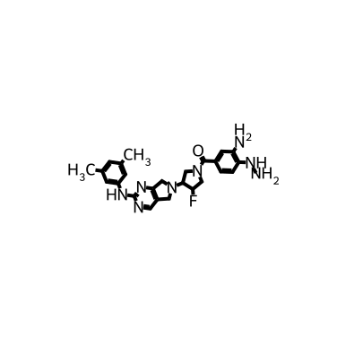 Cc1cc(C)cc(Nc2ncc3c(n2)CN(C2CN(C(=O)c4ccc(NN)c(N)c4)CC2F)C3)c1